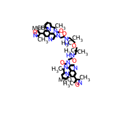 COc1cc2c(cc1-c1c(C)noc1C)ncc1c2n([C@H](C)c2ccccn2)c(=O)n1CC(=O)NCC(C)(C)COCC(C)(C)CNC(=O)Cn1c(=O)n([C@H](C)c2ccccn2)c2c3cc(OC)c(-c4c(C)noc4C)cc3ncc21